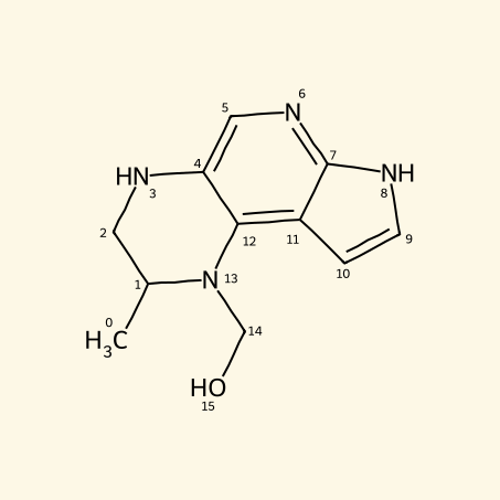 CC1CNc2cnc3[nH]ccc3c2N1CO